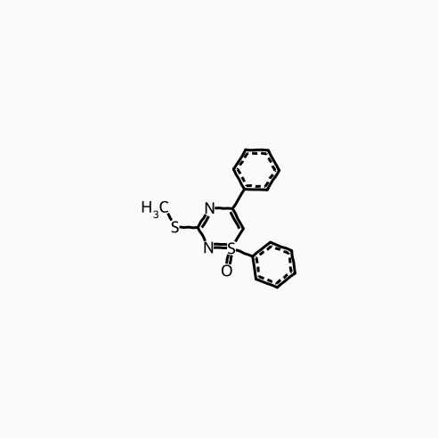 CSC1=NC(c2ccccc2)=CS(=O)(c2ccccc2)=N1